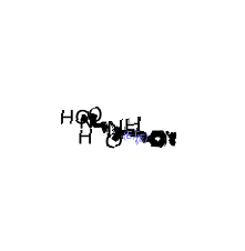 CN(C)c1ccc(/C=C/C=C/C(=O)NCCCC(=O)NO)cc1